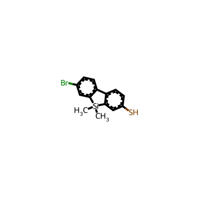 C[Si]1(C)c2cc(S)ccc2-c2ccc(Br)cc21